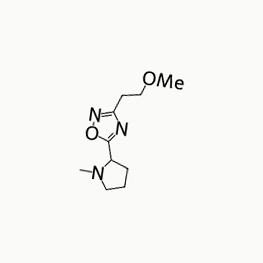 COCCc1noc(C2CCCN2C)n1